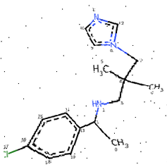 CC(NCC(C)(C)Cn1ccnc1)c1ccc(Cl)cc1